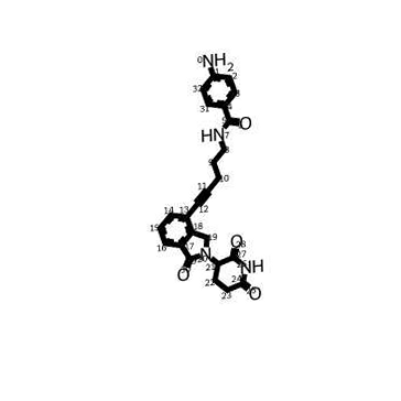 Nc1ccc(C(=O)NCCCC#Cc2cccc3c2CN(C2CCC(=O)NC2=O)C3=O)cc1